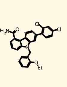 CCOc1ccccc1Cn1c2cc(-c3ccc(Cl)cc3Cl)c[c]c2c2c(C(N)=O)cccc21